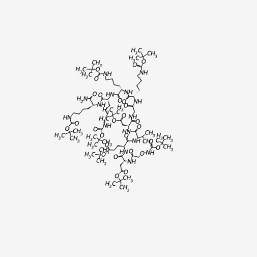 CC(C)[C@H](NC(=O)[C@H](CCC(=O)OC(C)(C)C)NC(=O)[C@H](CC(=O)OC(C)(C)C)NC(=O)CONC(=O)OC(C)(C)C)C(=O)N[C@@H](CC(=O)OC(C)(C)C)C(=O)NCC(=O)N[C@@H](CCCCNC(=O)OC(C)(C)C)C(=O)N[C@@H](CCCCNC(=O)OC(C)(C)C)C(=O)N[C@@H](CCCCNC(=O)OC(C)(C)C)C(=O)N[C@@H](CCCCNC(=O)OC(C)(C)C)C(N)=O